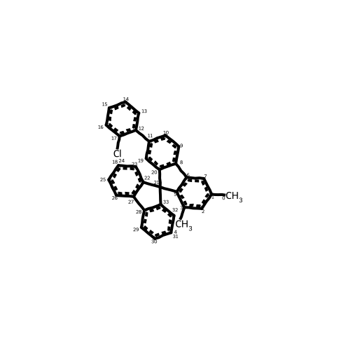 Cc1cc(C)c2c(c1)-c1ccc(-c3ccccc3Cl)cc1C21c2ccccc2-c2ccccc21